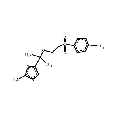 Cc1ccc(S(=O)(=O)CCOC(C)(C)c2csc(N)n2)cc1